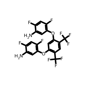 Nc1cc(Oc2cc(Oc3cc(N)c(F)cc3F)c(C(F)(F)F)cc2C(F)(F)F)c(F)cc1F